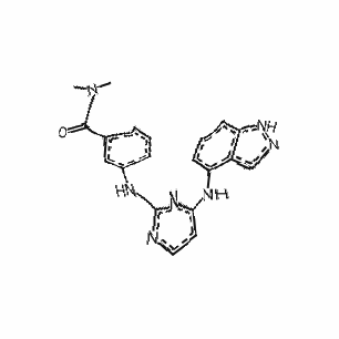 CN(C)C(=O)c1cccc(Nc2nccc(Nc3cccc4[nH]ncc34)n2)c1